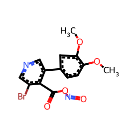 COc1ccc(-c2cncc(Br)c2C(=O)ON=O)cc1OC